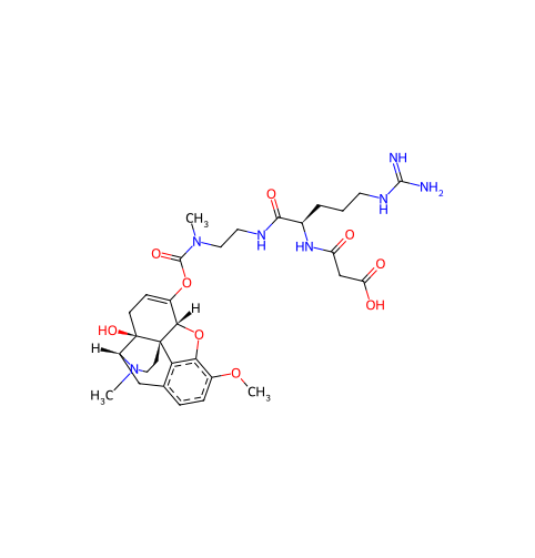 COc1ccc2c3c1O[C@H]1C(OC(=O)N(C)CCNC(=O)[C@@H](CCCNC(=N)N)NC(=O)CC(=O)O)=CC[C@@]4(O)[C@@H](C2)N(C)CC[C@]314